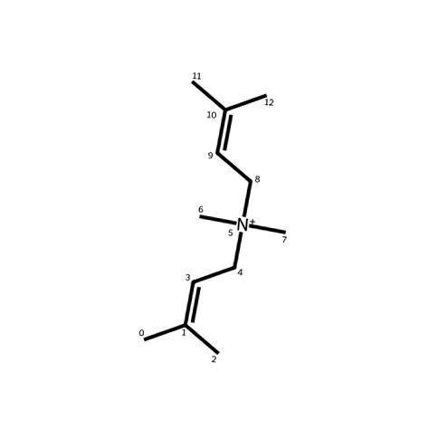 CC(C)=CC[N+](C)(C)CC=C(C)C